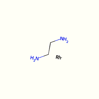 NCCN.[Rh]